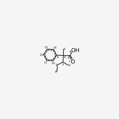 CCC(C)C(C)(C(=O)O)c1ccccc1